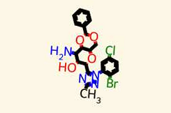 Cc1nc(C2OC3COC(c4ccccc4)OC3C(N)C2O)n(-c2cc(Cl)ccc2Br)n1